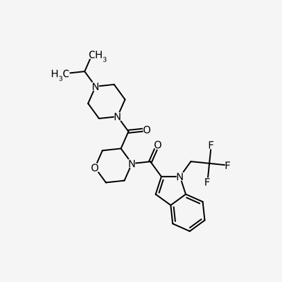 CC(C)N1CCN(C(=O)C2COCCN2C(=O)c2cc3ccccc3n2CC(F)(F)F)CC1